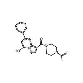 CC(=O)N1CCN(C(=O)c2cnn3c(O)cc(-c4ccccc4)nc23)CC1